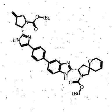 C=C1C[C@@H](c2nc(-c3ccc(-c4ccc5[nH]c([C@@H]6C[C@@]7(CC=CCO7)CN6C(=O)OC(C)(C)C)nc5c4)cc3)c[nH]2)N(C(=O)OC(C)(C)C)C1